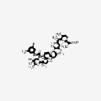 CCC(C(=O)[C@@H](C)[C@@H](O)[C@H](C)[C@@H]1O[C@@H]([C@@H](CC)C(=O)O)CC[C@@H]1C)[C@H]1O[C@]2(C=C[C@@H](NC(=O)Nc3cc(F)cc(C(F)(F)F)c3)[C@]3(CC[C@@](C)([C@H]4CC[C@](O)(CC)[C@H](C)O4)O3)O2)[C@H](C)C[C@@H]1C